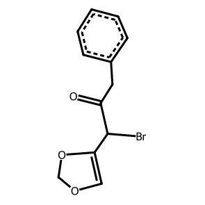 O=C(Cc1ccccc1)C(Br)C1=COCO1